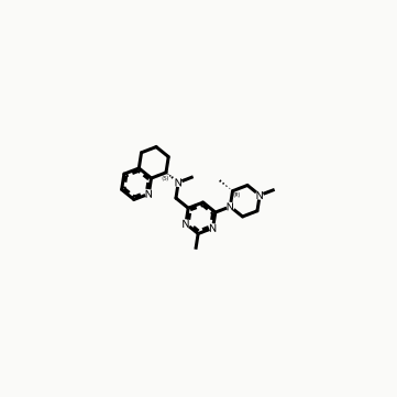 Cc1nc(CN(C)[C@H]2CCCc3cccnc32)cc(N2CCN(C)C[C@H]2C)n1